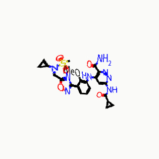 COc1c(Nc2cc(NC(=O)C3CC3)nnc2C(N)=O)cccc1-c1noc(CN(C2CC2)S(C)(=O)=O)n1